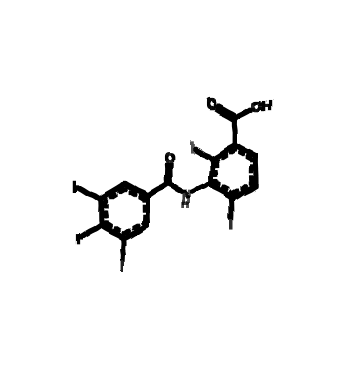 O=C(Nc1c(I)ccc(C(=O)O)c1I)c1cc(I)c(I)c(I)c1